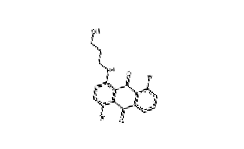 O=C1c2cccc(Br)c2C(=O)c2c(NCCCO)ccc(Br)c21